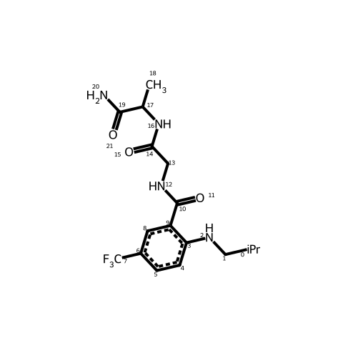 CC(C)CNc1ccc(C(F)(F)F)cc1C(=O)NCC(=O)NC(C)C(N)=O